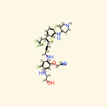 CN1CCC(Nc2cccc3c(CC(F)(F)F)c(C#CCNc4cc(F)c(NCCO)cc4OCC#N)sc23)C(F)C1